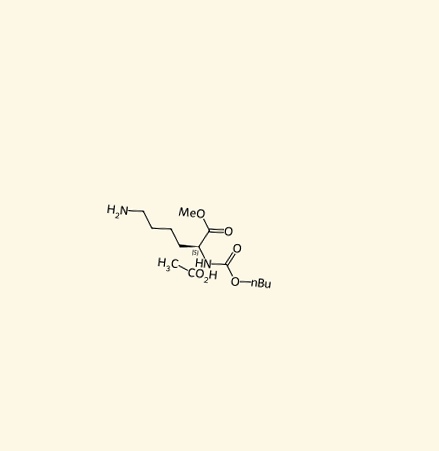 CC(=O)O.CCCCOC(=O)N[C@@H](CCCCN)C(=O)OC